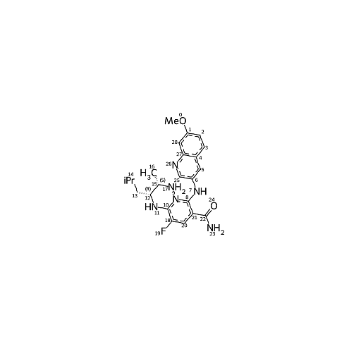 COc1ccc2cc(Nc3nc(N[C@H](CC(C)C)[C@H](C)N)c(F)cc3C(N)=O)cnc2c1